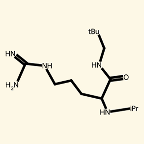 CC(C)NC(CCCNC(=N)N)C(=O)NCC(C)(C)C